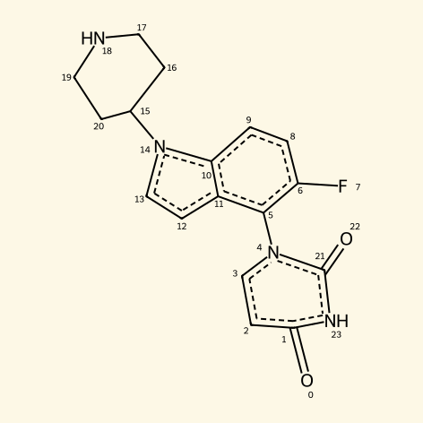 O=c1ccn(-c2c(F)ccc3c2ccn3C2CCNCC2)c(=O)[nH]1